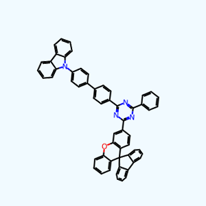 c1ccc(-c2nc(-c3ccc(-c4ccc(-n5c6ccccc6c6ccccc65)cc4)cc3)nc(-c3ccc4c(c3)Oc3ccccc3C43c4ccccc4-c4ccccc43)n2)cc1